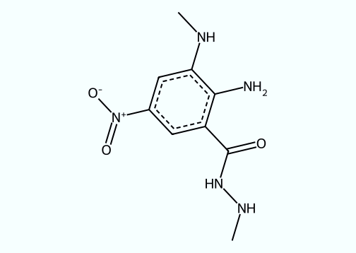 CNNC(=O)c1cc([N+](=O)[O-])cc(NC)c1N